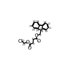 O=C(CCC(=O)OCC1c2ccccc2-c2ccccc21)OCCl